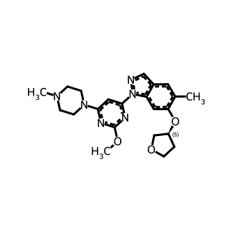 COc1nc(N2CCN(C)CC2)cc(-n2ncc3cc(C)c(O[C@H]4CCOC4)cc32)n1